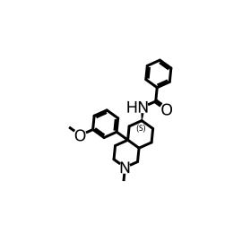 COc1cccc(C23CCN(C)CC2CC[C@H](NC(=O)c2ccccc2)C3)c1